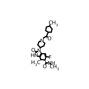 CNC(=O)[C@@H]1C(F)=Cc2c([nH]c(=O)n2C2CCN(CC(=O)C3CCC(C)CC3)CC2)C1C